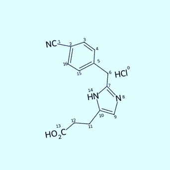 Cl.N#Cc1ccc(Cc2ncc(CCC(=O)O)[nH]2)cc1